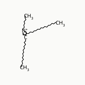 CCCCCCCCCCCCCCCCCc1cc[n+](CCCCCCCC)cc1CCCCCCCCCCCCCCCCC